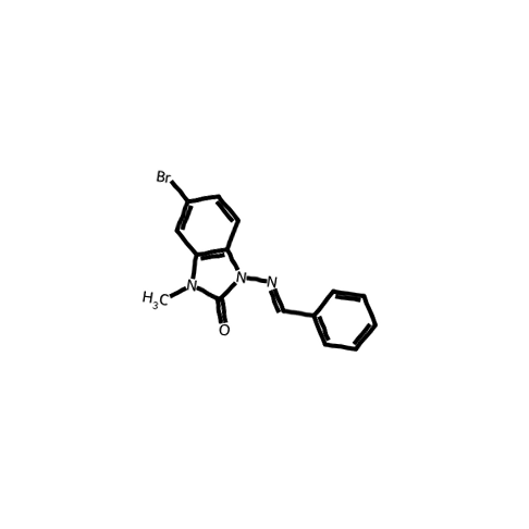 Cn1c(=O)n(/N=C/c2ccccc2)c2ccc(Br)cc21